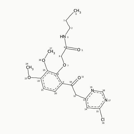 CCCNC(=O)COc1c(C(=O)Cc2cc(Cl)ncn2)ccc(OC)c1OC